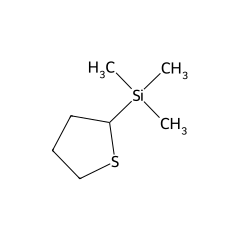 C[Si](C)(C)C1CCCS1